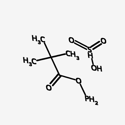 CC(C)(C)C(=O)OP.O=[SH](=O)O